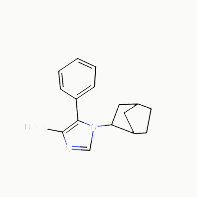 O=C(O)c1ncn(C2CC3CCC2C3)c1-c1ccccc1